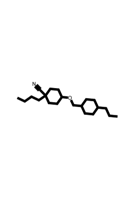 CCCCC1(C#N)CCC(OCC2CCC(CCC)CC2)CC1